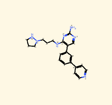 Nc1ncc(-c2cccc(-c3ccncc3)c2)c(NCCCN2CCCN2)n1